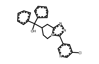 OC(c1ccccc1)(c1ccccc1)C1CCn2c(nnc2-c2cncc(Cl)c2)C1